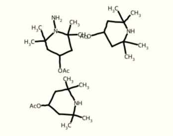 CC(=O)OC1CC(C)(C)N(N)C(C)(C)C1.CC(=O)OC1CC(C)(C)NC(C)(C)C1.CC(=O)OC1CC(C)(C)NC(C)(C)C1